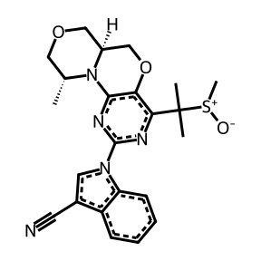 C[C@@H]1COC[C@H]2COc3c(nc(-n4cc(C#N)c5ccccc54)nc3C(C)(C)[S+](C)[O-])N21